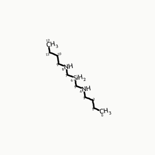 CCCCNC[SiH2]CNCCCC